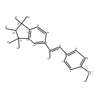 COc1ccc(C=C(C)c2ccc3c(c2)C(C)(C)C(C)C3(C)C)cc1